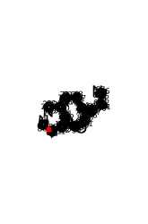 c1cncc(-c2cccc(-c3ccc4c(c3)c3cc(-c5cccc(-c6cccnc6)c5)ccc3n4-c3ccc4oc5ccc(-n6c7ccc(-c8cccc(-c9cccnc9)c8)cc7c7cc(-c8cccc(-c9cccnc9)c8)ccc76)cc5c4c3)c2)c1